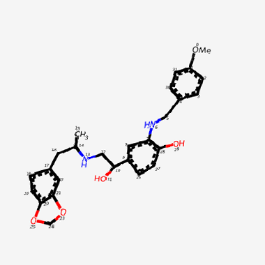 COc1ccc(CNc2cc(C(O)CNC(C)Cc3ccc4c(c3)OCO4)ccc2O)cc1